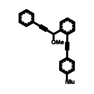 CCCCc1ccc(C#Cc2ccccc2C(C#Cc2ccccc2)OC)cc1